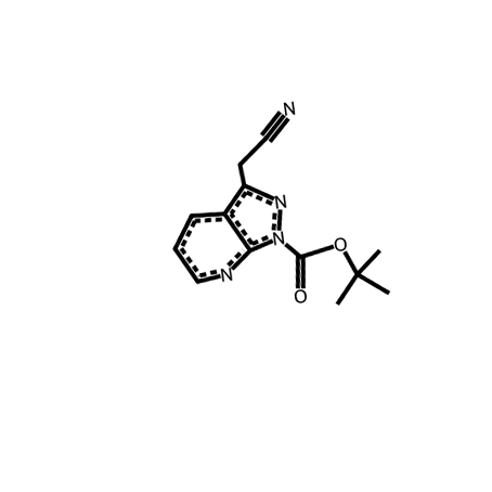 CC(C)(C)OC(=O)n1nc(CC#N)c2cccnc21